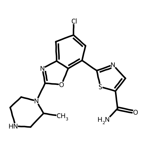 CC1CNCCN1c1nc2cc(Cl)cc(-c3ncc(C(N)=O)s3)c2o1